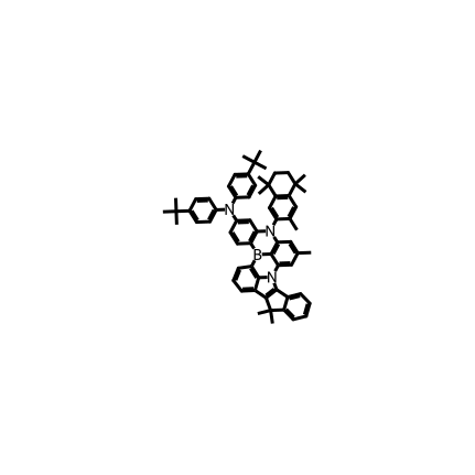 Cc1cc2c3c(c1)-n1c4c(c5cccc(c51)B3c1ccc(N(c3ccc(C(C)(C)C)cc3)c3ccc(C(C)(C)C)cc3)cc1N2c1cc2c(cc1C)C(C)(C)CCC2(C)C)C(C)(C)c1ccccc1-4